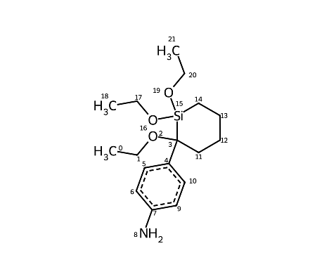 CCOC1(c2ccc(N)cc2)CCCC[Si]1(OCC)OCC